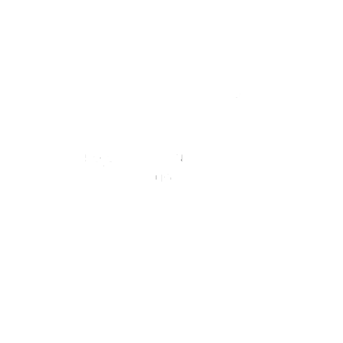 O=C(O)[C@@H](CCCCCc1ccccc1)CC(=NO)c1ccc2c3c(oc2c1)CCCC3